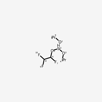 CC(C)O[SiH](OC(C)C)OC(F)C(F)F